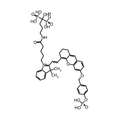 CC1(C)C(/C=C/C2=C3Oc4cc(OCc5ccc(OP(=O)(O)O)cc5)ccc4C=C3CCC2)=[N+](CCCCC(=O)NCCCC(O)(P(=O)(O)O)P(=O)(O)O)c2ccccc21